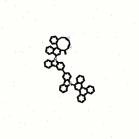 C=C1/C=C\C=C/Cc2ccccc2-c2c1cc(-n1c3ccccc3c3cc(-c4ccc5c(c4)c4ccccc4n5-c4cc5c6ccccc6c6ccccc6c5c5ccccc45)ccc31)c1ccccc21